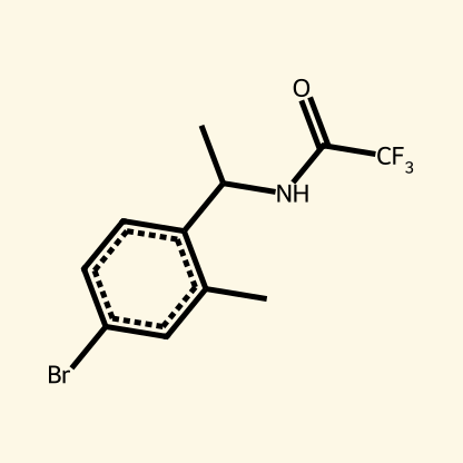 Cc1cc(Br)ccc1C(C)NC(=O)C(F)(F)F